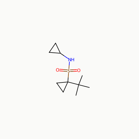 CC(C)(C)C1(S(=O)(=O)NC2CC2)CC1